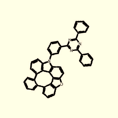 c1ccc(-c2nc(-c3ccccc3)nc(-c3cccc(-n4c5cccc6c7ccccc7c7cccc8oc9ccc4c(c9c87)c65)c3)n2)cc1